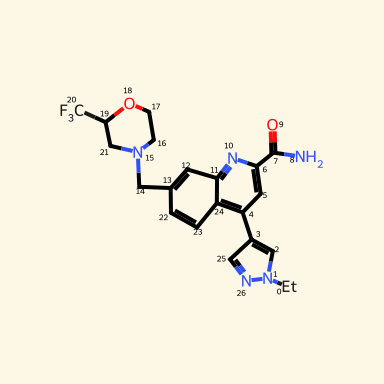 CCn1cc(-c2cc(C(N)=O)nc3cc(CN4CCOC(C(F)(F)F)C4)ccc23)cn1